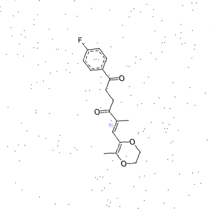 CC1=C(/C=C(\C)C(=O)CCC(=O)c2ccc(F)cc2)OCCO1